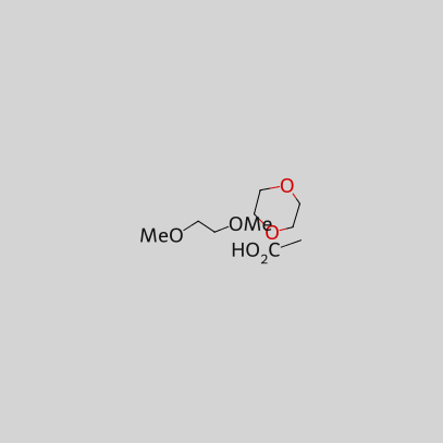 C1COCCO1.CC(=O)O.COCCOC